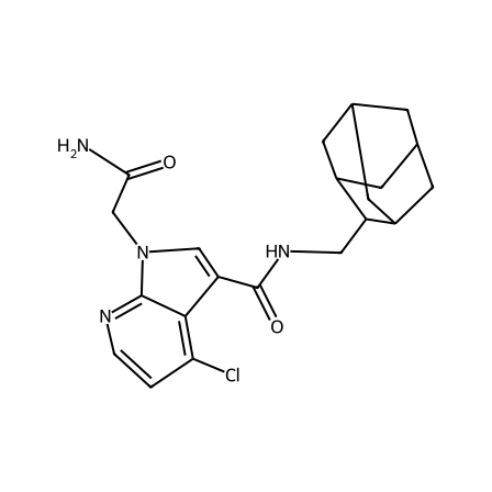 NC(=O)Cn1cc(C(=O)NCC2C3CC4CC(C3)CC2C4)c2c(Cl)ccnc21